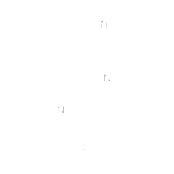 c1csc(CN2CC[N]CC2)n1